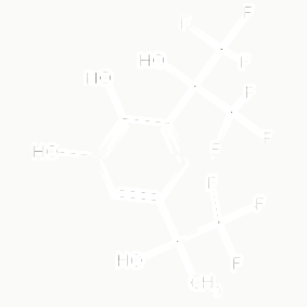 CC(O)(c1cc(O)c(O)c(C(O)(C(F)(F)F)C(F)(F)F)c1)C(F)(F)F